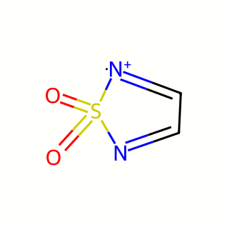 O=S1(=O)N=CC=[N+]1